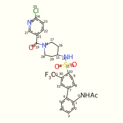 CC(=O)Nc1ccccc1-c1ccc(S(=O)(=O)NC2CCN(C(=O)c3ccc(Cl)nc3)CC2)c(C(F)(F)F)c1